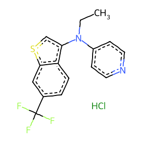 CCN(c1ccncc1)c1csc2cc(C(F)(F)F)ccc12.Cl